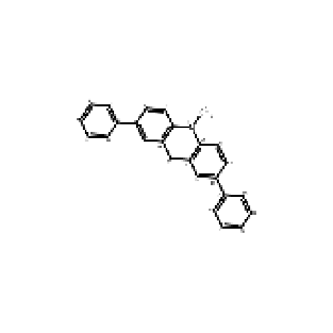 CN1c2ccc(-c3ccccc3)cc2Cc2cc(-c3ccccc3)ccc21